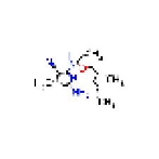 CCCCC(CC)COC(CC)Nc1nc(N)cc(C)c1C#N